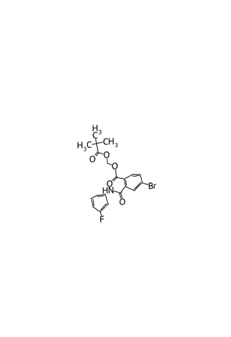 CC(C)(C)C(=O)OCOC(=O)c1ccc(Br)cc1C(=O)Nc1cccc(F)c1